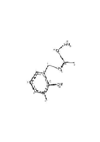 Cc1cccc(COC(C)O[SiH3])c1O